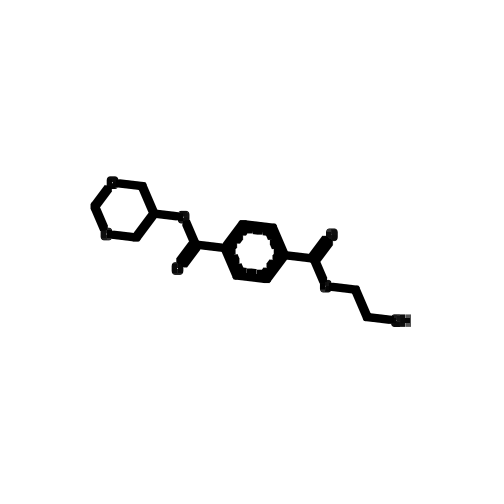 O=C(OCCO)c1ccc(C(=O)OC2COCOC2)cc1